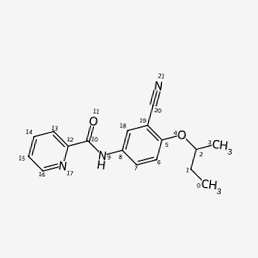 CCC(C)Oc1ccc(NC(=O)c2ccccn2)cc1C#N